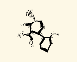 CCCCn1ccc(-c2ccccc2OC)c(C(N)=O)c1=O